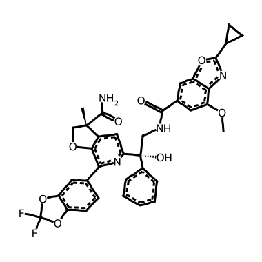 COc1cc(C(=O)NC[C@@](O)(c2ccccc2)c2cc3c(c(-c4ccc5c(c4)OC(F)(F)O5)n2)OC[C@]3(C)C(N)=O)cc2oc(C3CC3)nc12